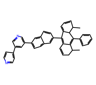 CC1CC=CC2=C(c3ccc4cc(-c5cncc(-c6ccncc6)c5)ccc4c3)C3=CC=CC(C)C3C(c3ccccc3)=C21